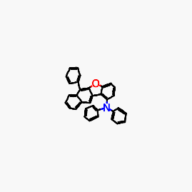 c1ccc(-c2c3ccccc3cc3c2oc2cccc(N(c4ccccc4)c4ccccc4)c23)cc1